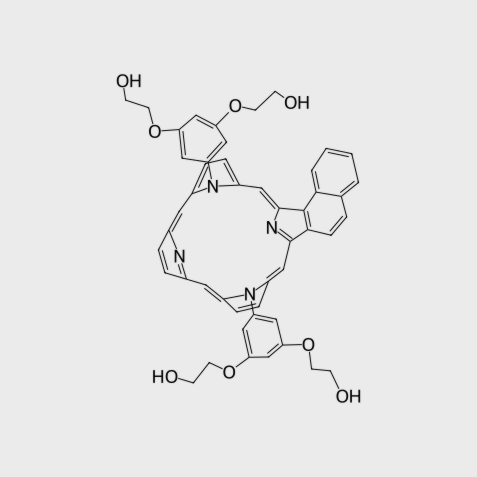 OCCOc1cc(OCCO)cc(-n2c3ccc2cc2nc(cc4ccc(cc5nc(c3)C=C5)n4-c3cc(OCCO)cc(OCCO)c3)-c3c-2ccc2ccccc32)c1